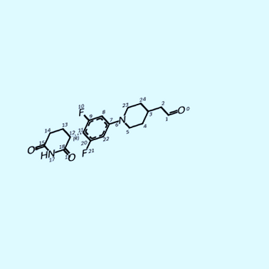 O=CCC1CCN(c2cc(F)c([C@H]3CCC(=O)NC3=O)c(F)c2)CC1